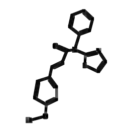 CCOc1ccc(/C=C/C(=O)N(c2ccccc2)c2nccs2)cc1